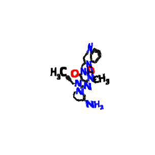 CC#CCn1c(N2CCCC(N)C2)nc2c1c(=O)n(C/C(=C/C#N)Nc1ccccc1)c(=O)n2C